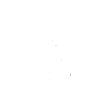 CC1(C)C2=CC=CC3CC4=CC=CC5C4B(C23)C2C(=CC(c3ccc(C4=CC6C7B8C9C(=CC=CC9CC9=CC=CC(C89)C(C)(C)C7=C4)C6(C)C)s3)=CC21)C5(C)C